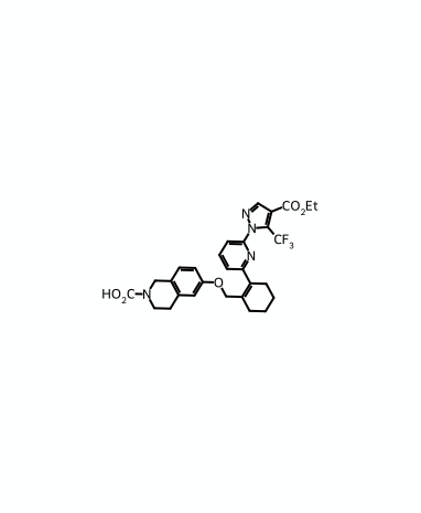 CCOC(=O)c1cnn(-c2cccc(C3=C(COc4ccc5c(c4)CCN(C(=O)O)C5)CCCC3)n2)c1C(F)(F)F